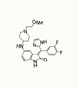 COCCN1CCC(Nc2ccc3c(c2)C(=C(c2ccc(F)c(F)c2)c2ncc[nH]2)C(=O)N3)CC1